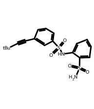 CC(C)(C)C#Cc1cccc(S(=O)(=O)Nc2ccccc2S(N)(=O)=O)c1